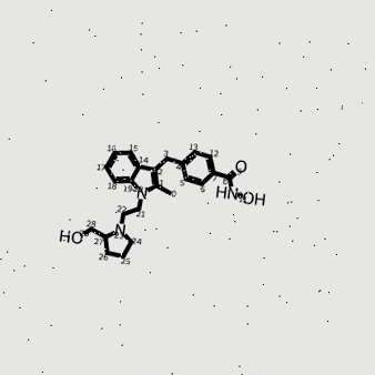 Cc1c(Cc2ccc(C(=O)NO)cc2)c2ccccc2n1CCN1CCCC1CO